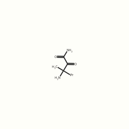 CC(C)C(C)(N)C(=O)C(N)=O